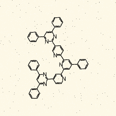 c1ccc(-c2cc(-c3ccc(-c4nc(-c5ccccc5)cc(-c5ccccc5)n4)cn3)nc(-c3cc(-c4nc(-c5ccccc5)cc(-c5ccccc5)n4)ccn3)c2)cc1